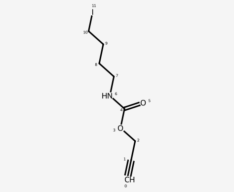 C#CCOC(=O)NCCCCI